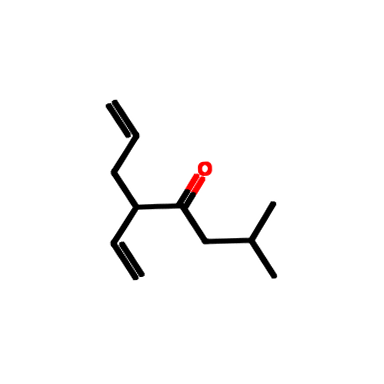 C=CCC(C=C)C(=O)CC(C)C